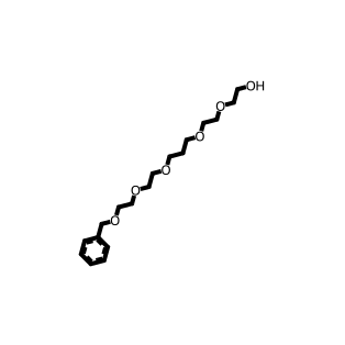 OCCOCCOCCCOCCOCCOCc1ccccc1